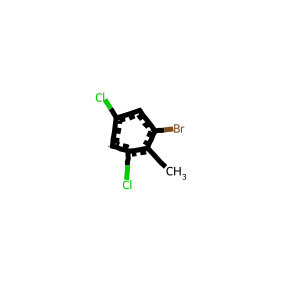 Cc1c(Cl)[c]c(Cl)cc1Br